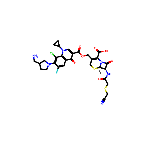 N#CCSCC(=O)N[C@@H]1C(=O)N2C(C(=O)O)=C(COC(=O)c3cn(C4CC4)c4c(Cl)c(N5CCC(CN)C5)c(F)cc4c3=O)CS[C@H]12